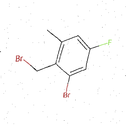 Cc1cc(F)cc(Br)c1CBr